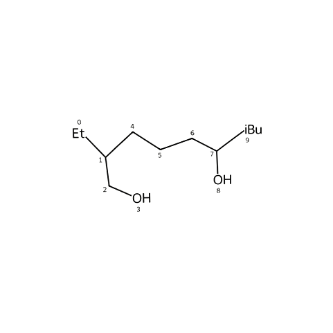 CCC(CO)CCCC(O)C(C)CC